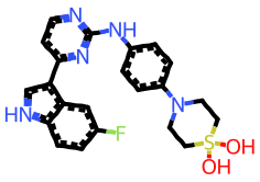 OS1(O)CCN(c2ccc(Nc3nccc(-c4c[nH]c5ccc(F)cc45)n3)cc2)CC1